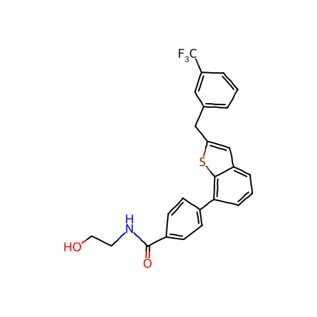 O=C(NCCO)c1ccc(-c2cccc3cc(Cc4cccc(C(F)(F)F)c4)sc23)cc1